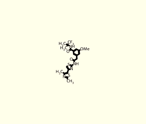 COc1cc(CC(=O)Nc2nc(-c3sc(C)nc3C)cs2)cc(C(=O)NC(C)(C)C(F)(F)F)c1